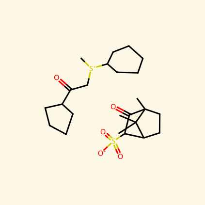 CC12CCC(C(S(=O)(=O)[O-])C1=O)C2(C)C.C[S+](CC(=O)C1CCCC1)C1CCCCC1